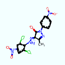 CC1=NN(c2ccc([N+](=O)[O-])cc2)C(=O)/C1=N/Nc1c(Cl)cc([N+](=O)[O-])cc1Cl